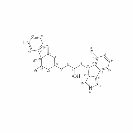 C=C1CC(CCC(O)CC2c3c(F)cccc3-c3cncn32)CC(C)C1(C)c1cccnc1